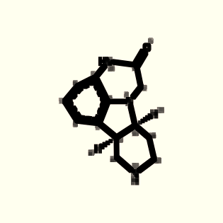 O=C1CN2c3c(cccc3[C@@H]3CNCC[C@@H]32)N1